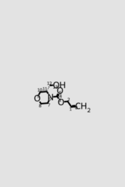 C=CCOC(=O)N1CCOC[C@@H]1CO